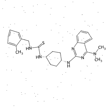 Cc1ccccc1CNC(=S)N[C@H]1CC[C@@H](Nc2nc(N(C)C)c3ccccc3n2)CC1